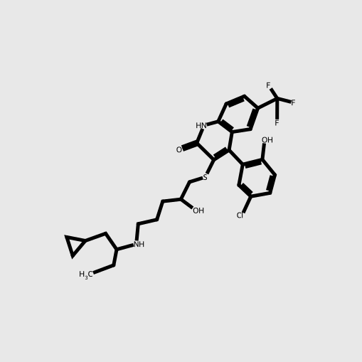 CCC(CC1CC1)NCCCC(O)CSc1c(-c2cc(Cl)ccc2O)c2cc(C(F)(F)F)ccc2[nH]c1=O